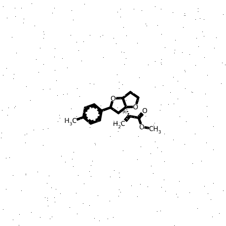 C=C(C(=O)OC)[C@]12CC(c3ccc(C)cc3)OC1CCO2